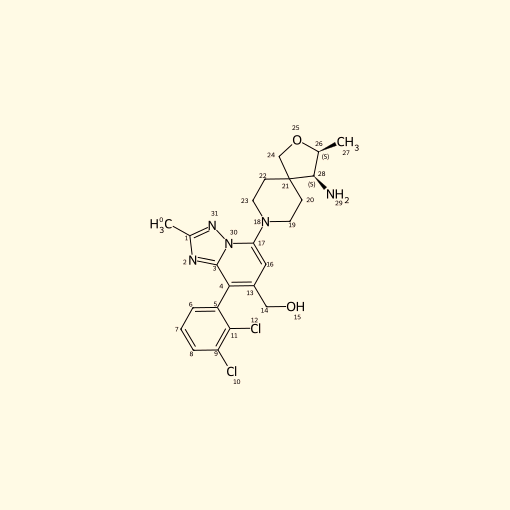 Cc1nc2c(-c3cccc(Cl)c3Cl)c(CO)cc(N3CCC4(CC3)CO[C@@H](C)[C@H]4N)n2n1